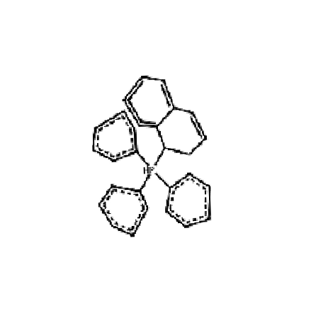 C1=C=C2C(=CC=1)C=CCC2[PH](c1ccccc1)(c1ccccc1)c1ccccc1